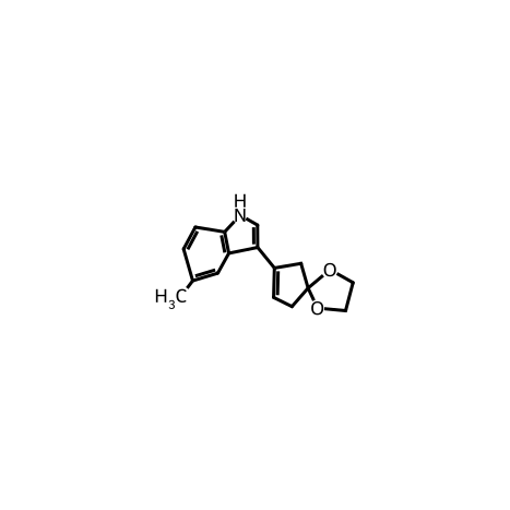 Cc1ccc2[nH]cc(C3=CCC4(C3)OCCO4)c2c1